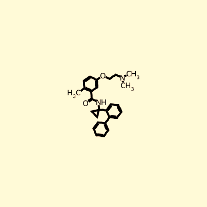 Cc1ccc(OCCN(C)C)cc1C(=O)NC1(c2ccccc2-c2ccccc2)CC1